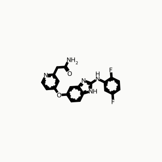 NC(=O)Cc1cc(Oc2ccc3[nH]c(Nc4cc(F)ccc4F)nc3c2)ccn1